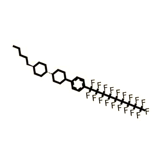 CCCCC[C@H]1CC[C@H](C2CCC(c3ccc(C(F)(F)C(F)(F)C(F)(F)C(F)(F)C(F)(F)C(F)(F)C(F)(F)C(F)(F)C(F)(F)F)cc3)CC2)CC1